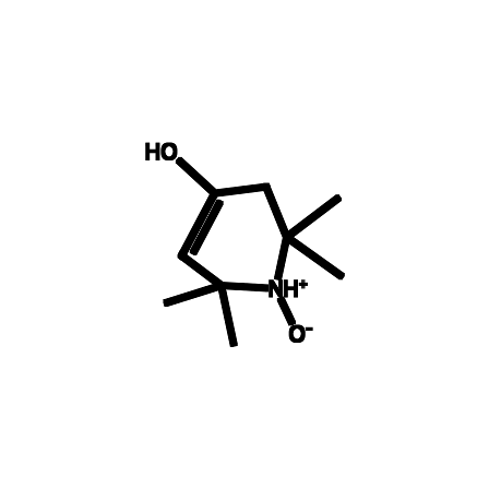 CC1(C)C=C(O)CC(C)(C)[NH+]1[O-]